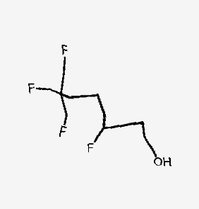 OCC(F)CC(F)(F)F